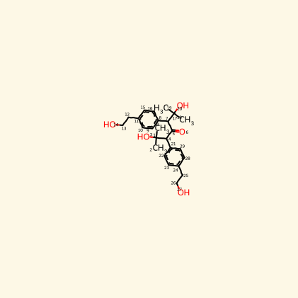 CC(C)(O)C(C(=O)C(c1ccc(CCO)cc1)C(C)(C)O)c1ccc(CCO)cc1